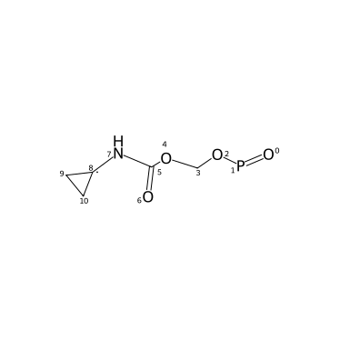 O=POCOC(=O)N[C]1CC1